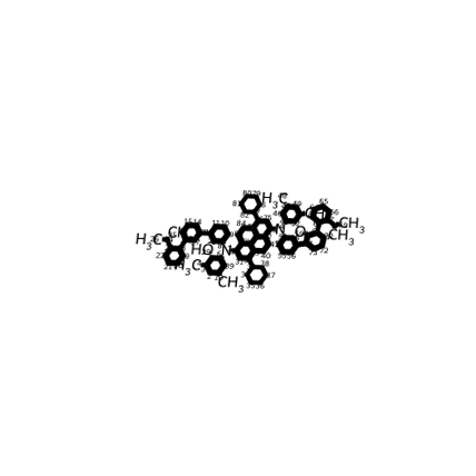 Cc1cc(C)cc(N(c2cccc(-c3cccc(-c4ccccc4C(C)C)c3)c2O)c2cc(C3CCCCC3)c3ccc4c(N(c5cc(C)cc(C)c5)c5cccc6c5oc5c(-c7ccccc7C(C)C)cccc56)cc(C5CCCCC5)c5ccc2c3c54)c1